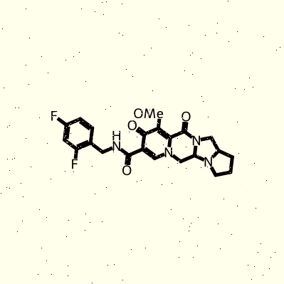 COc1c2n(cc(C(=O)NCc3ccc(F)cc3F)c1=O)CC1N(CC3CCCN31)C2=O